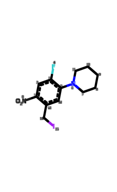 O=[N+]([O-])c1cc(F)c(N2CCCCC2)cc1CI